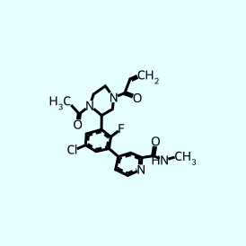 C=CC(=O)N1CCN(C(C)=O)C(c2cc(Cl)cc(-c3ccnc(C(=O)NC)c3)c2F)C1